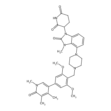 COc1cc(-c2cn(C)c(=O)c(C)c2C)cc(OC)c1CN1CCN(c2cccc3c2n(C)c(=O)n3C2CCC(=O)NC2=O)CC1